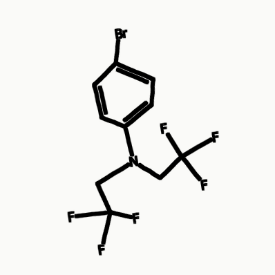 FC(F)(F)CN(CC(F)(F)F)c1ccc(Br)cc1